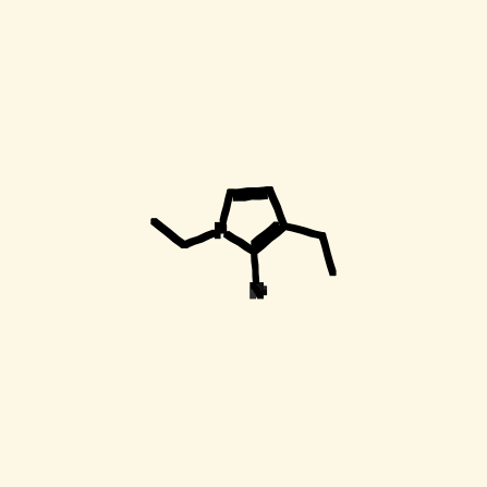 CCc1ccp(CC)c1[N]